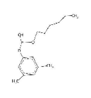 CCCCCCOP(O)Oc1cc(C)cc(C)c1